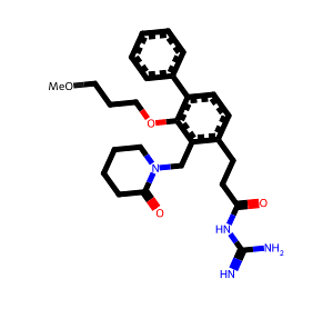 COCCCOc1c(-c2ccccc2)ccc(CCC(=O)NC(=N)N)c1CN1CCCCC1=O